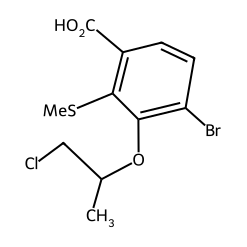 CSc1c(C(=O)O)ccc(Br)c1OC(C)CCl